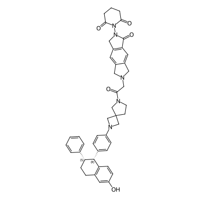 O=C(CN1Cc2cc3c(cc2C1)C(=O)N(N1C(=O)CCCC1=O)C3)N1CCC2(C1)CN(c1ccc([C@@H]3c4ccc(O)cc4CC[C@@H]3c3ccccc3)cc1)C2